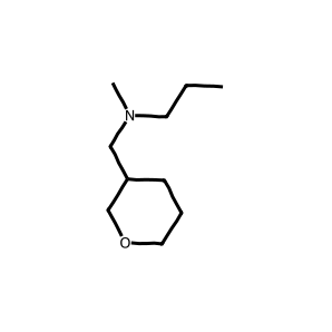 CCCN(C)CC1CCCOC1